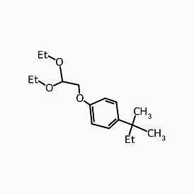 CCOC(COc1ccc(C(C)(C)CC)cc1)OCC